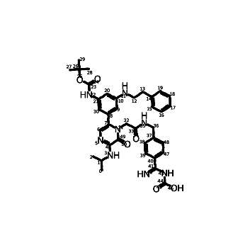 CC(C)Nc1ncc(-c2cc(NCCc3ccccc3)cc(NC(=O)OC(C)(C)C)c2)n(CC(=O)NCc2ccc(C(=N)NC(=O)O)cc2)c1=O